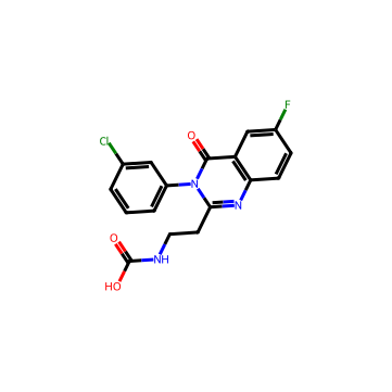 O=C(O)NCCc1nc2ccc(F)cc2c(=O)n1-c1cccc(Cl)c1